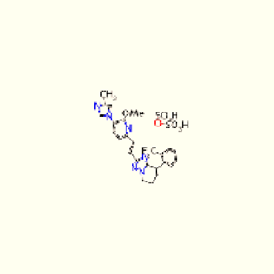 COc1nc(C=Cc2nc3n(n2)CCCC3c2ccccc2C(F)(F)F)ccc1-n1cnc(C)c1.O=S(=O)(O)OS(=O)(=O)O